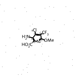 COc1nc(C(=O)O)c(N)c(Cl)c1C(F)(F)F